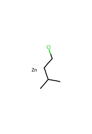 CC(C)CCCl.[Zn]